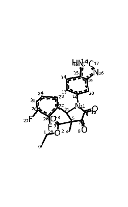 CCOC(=O)C1(C)C(=O)C(=O)N(c2ccc3[nH][14cH]nc3c2)C1c1cccc(F)c1F